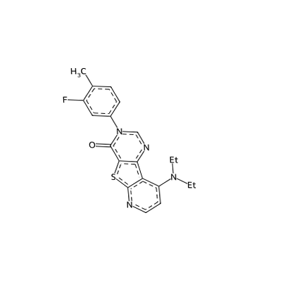 CCN(CC)c1ccnc2sc3c(=O)n(-c4ccc(C)c(F)c4)cnc3c12